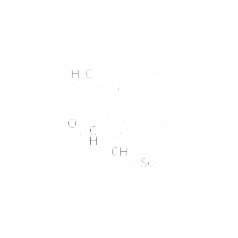 CC12CCC(CC1=O)C2(C)C.[Sc]